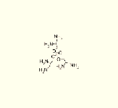 NCC(N)COP(=O)(OCC(N)CN)OCC(N)CN